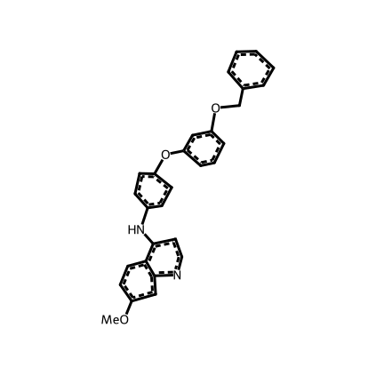 COc1ccc2c(Nc3ccc(Oc4cccc(OCc5ccccc5)c4)cc3)ccnc2c1